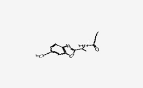 CC(=O)NC(C)c1nc2ccc(O)cc2o1